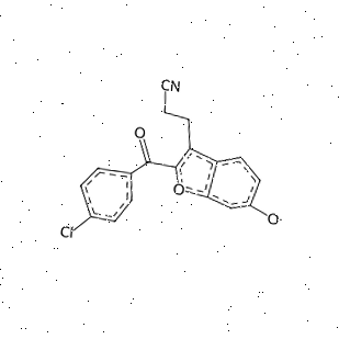 N#CCCc1c(C(=O)c2ccc(Cl)cc2)oc2cc([O])ccc12